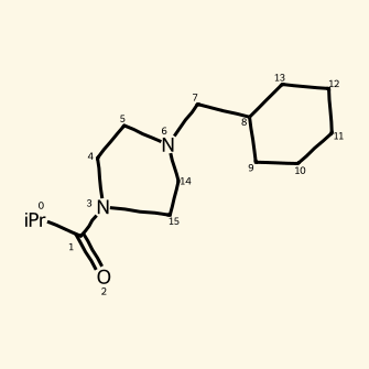 CC(C)C(=O)N1CCN(CC2CCCCC2)CC1